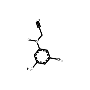 C#CC[S+]([O-])c1cc(C)cc(C)c1